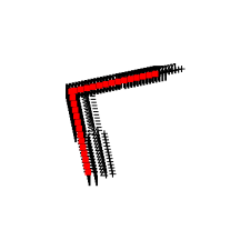 [N-3].[N-3].[N-3].[N-3].[N-3].[N-3].[N-3].[N-3].[N-3].[N-3].[N-3].[N-3].[N-3].[N-3].[N-3].[N-3].[N-3].[N-3].[N-3].[N-3].[N-3].[N-3].[N-3].[N-3].[N-3].[N-3].[N-3].[N-3].[N-3].[Ti+4].[Ti+4].[Ti+4].[Ti+4].[Ti+4].[Ti+4].[Ti+4].[Ti+4].[Ti+4].[Ti+4].[Ti+4].[Ti+4].[Ti+4].[Ti+4].[Ti+4].[Ti+4].[Ti+4].[Ti+4].[Ti+4].[Ti+4].[Ti+4].[Ti+4].[Ti+4].[Ti+4].[Ti+4].[Ti+4].[Ti+4].[Ti+4]